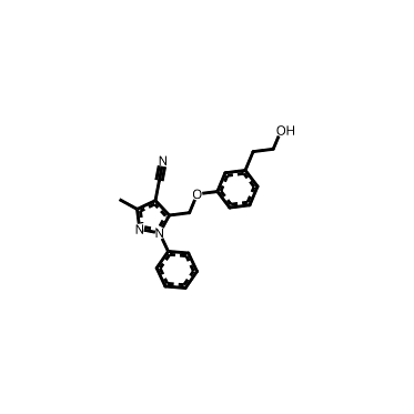 Cc1nn(-c2ccccc2)c(COc2cccc(CCO)c2)c1C#N